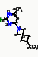 O=C(O)C1CC2(C1)CN(c1cc(C(F)(F)F)nc(Cl)n1)C2